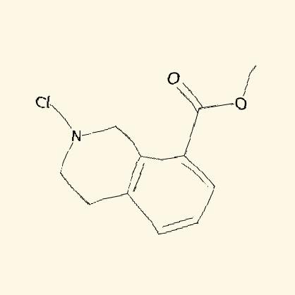 COC(=O)c1cccc2c1CN(Cl)CC2